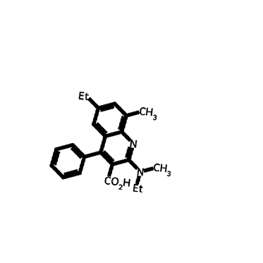 CCc1cc(C)c2nc(N(C)CC)c(C(=O)O)c(-c3ccccc3)c2c1